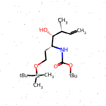 C=C[C@@H](C)[C@@H](O)[C@@H](CCO[Si](C)(C)C(C)(C)C)NC(=O)OC(C)(C)C